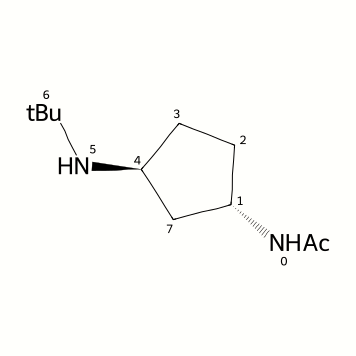 CC(=O)N[C@H]1CC[C@H](NC(C)(C)C)C1